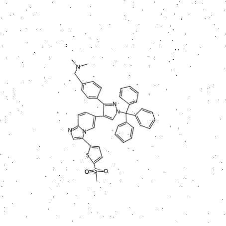 CN(C)Cc1ccc(-c2nn(C(c3ccccc3)(c3ccccc3)c3ccccc3)cc2-c2ccc3ncc(-c4ccc(S(C)(=O)=O)s4)n3c2)cc1